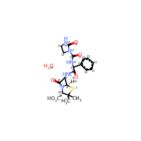 CC1(C)S[C@@H]2[C@H](NC(=O)C(NC(=O)N3CCNC3=O)c3ccccc3)C(=O)N2[C@H]1C(=O)O.O